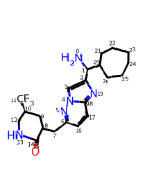 NC(c1cn2nc(CC3C[C@H](C(F)(F)F)CNC3=O)ccc2n1)C1CCCCCC1